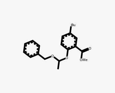 CCC(C)c1ccc(OC(C)OCc2ccccc2)c(C(=O)OC)c1